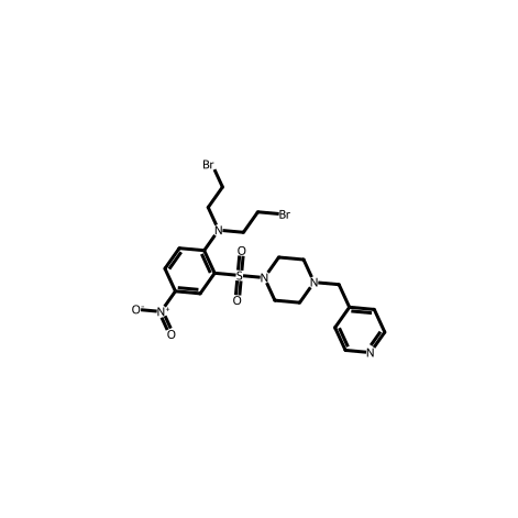 O=[N+]([O-])c1ccc(N(CCBr)CCBr)c(S(=O)(=O)N2CCN(Cc3ccncc3)CC2)c1